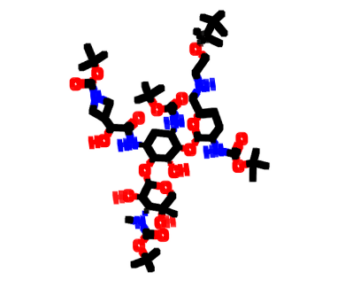 CN(C(=O)OC(C)(C)C)[C@@H]1[C@@H](O)[C@@H](O[C@@H]2[C@@H](O)[C@H](O[C@H]3OC(CNCCO[Si](C)(C)C(C)(C)C)=CC[C@H]3NC(=O)OC(C)(C)C)[C@@H](NC(=O)OC(C)(C)C)C[C@H]2NC(=O)C(O)C2CN(C(=O)OC(C)(C)C)C2)OC[C@]1(C)O